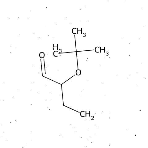 [CH2]CC(C=O)OC(C)(C)C